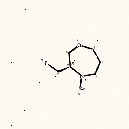 CC(C)N1CCCOC[C@@H]1CF